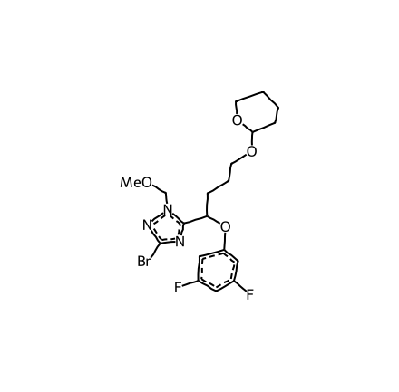 COCn1nc(Br)nc1C(CCCOC1CCCCO1)Oc1cc(F)cc(F)c1